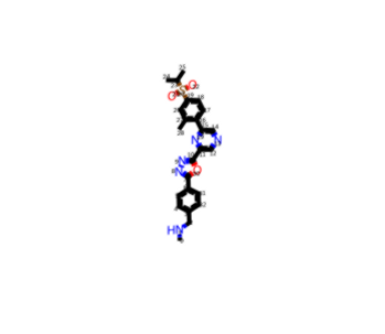 CNCc1ccc(-c2nnc(-c3cncc(-c4ccc(S(=O)(=O)C(C)C)cc4C)n3)o2)cc1